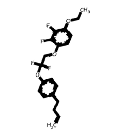 C=CCCc1ccc(OC(F)(F)COc2ccc(OCC)c(F)c2F)cc1